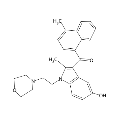 Cc1ccc(C(=O)c2c(C)n(CCN3CCOCC3)c3ccc(O)cc23)c2ccccc12